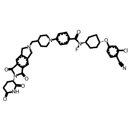 N#Cc1ccc(O[C@H]2CC[C@H](N(F)C(=O)c3ccc(N4CCC(CN5Cc6cc7c(cc6C5)C(=O)N([C@H]5CCC(=O)NC5=O)C7=O)CC4)cc3)CC2)cc1Cl